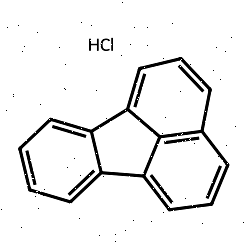 Cl.c1ccc2c(c1)-c1cccc3cccc-2c13